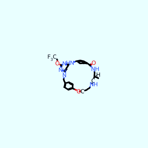 C[C@H]1CNCCCOc2ccc(cc2)CNc2cc(nc(OCC(F)(F)F)n2)Nc2ccc(cc2)C(=O)NC1